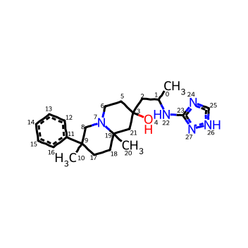 CC(CC1(O)CCN2CC(C)(c3ccccc3)CCC2(C)C1)Nc1nc[nH]n1